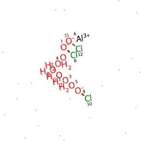 O.O.O.O.O.O.[Al+3].[O-]Cl.[O-]Cl.[O-]Cl